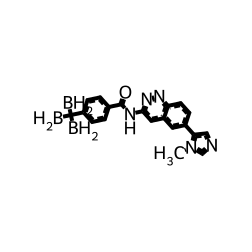 BC(B)(B)c1ccc(C(=O)Nc2cc3cc(-c4cncn4C)ccc3nn2)cc1